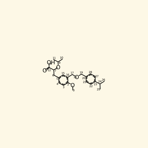 COc1ccc(CC(OC(C)C)C(=O)O)cc1COCc1ccc(C(C)C)cc1